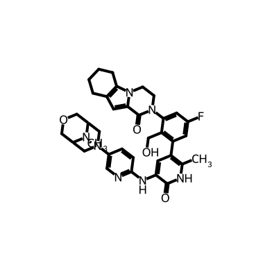 Cc1[nH]c(=O)c(Nc2ccc(N3CC4COCC(C3)N4C)cn2)cc1-c1cc(F)cc(N2CCn3c(cc4c3CCCC4)C2=O)c1CO